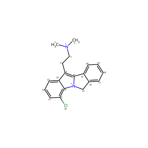 CN(C)CCc1c2n(c3c(Cl)cccc13)Cc1ccccc1-2